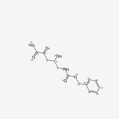 O=C(NCC(O)CC(=O)C(=O)O)OCc1ccccc1